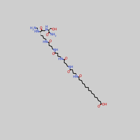 NCN[C@@H](CCCCNC(=O)CCCNC(=O)CCCNC(=O)CCCNC(=O)CCCNC(=O)CCCCCCCCCCCCCCC(=O)O)C(=O)CN[C@@H](CO)C(N)=O